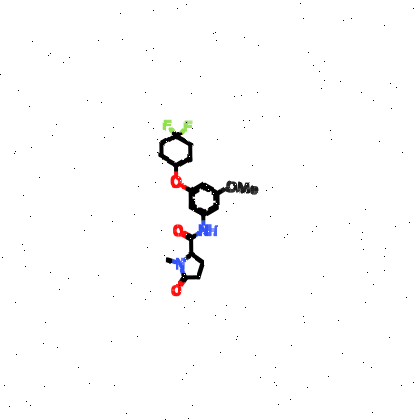 COc1cc(NC(=O)C2CCC(=O)N2C)cc(OC2CCC(F)(F)CC2)c1